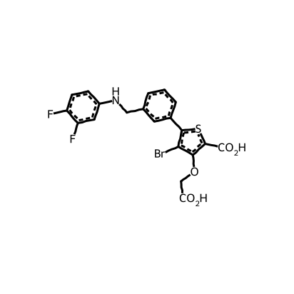 O=C(O)COc1c(C(=O)O)sc(-c2cccc(CNc3ccc(F)c(F)c3)c2)c1Br